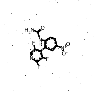 NC(=O)Nc1ccc([N+](=O)[O-])cc1-c1c(F)cnc(F)c1F